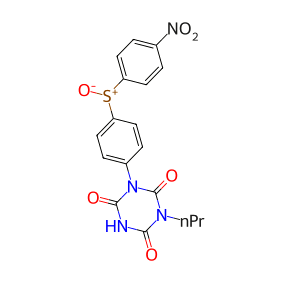 CCCn1c(=O)[nH]c(=O)n(-c2ccc([S+]([O-])c3ccc([N+](=O)[O-])cc3)cc2)c1=O